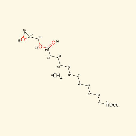 C.CCCCCCCCCCCCCCCCCCCCCC(=O)OCC1CO1